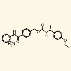 CCOc1ccc([C@H](C)NC(=O)OCc2ccc(C(=O)Nc3ccccc3N)cc2)cc1